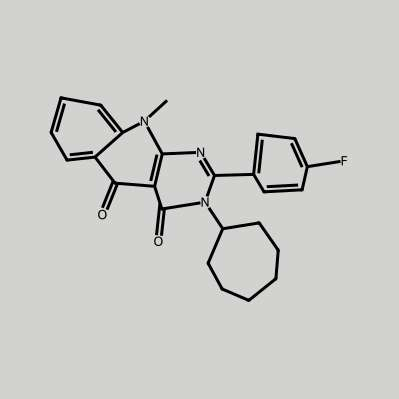 Cn1c2ccccc2c(=O)c2c(=O)n(C3CCCCCC3)c(-c3ccc(F)cc3)nc21